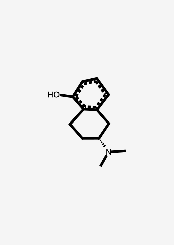 CN(C)[C@@H]1CCc2c(O)cccc2C1